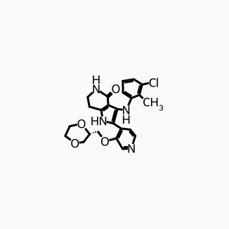 Cc1c(Cl)cccc1Nc1c(-c2ccncc2OC[C@@H]2COCCO2)[nH]c2c1C(=O)NCC2